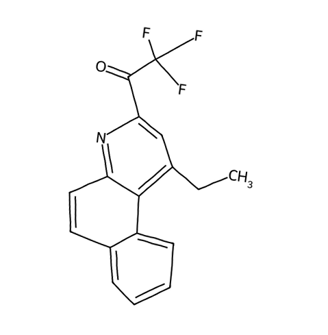 CCc1cc(C(=O)C(F)(F)F)nc2ccc3ccccc3c12